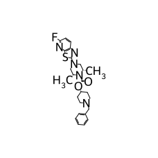 C[C@@H]1CN(c2nc3ccc(F)nc3s2)C[C@H](C)N1C(=O)OC1CCN(Cc2ccccc2)CC1